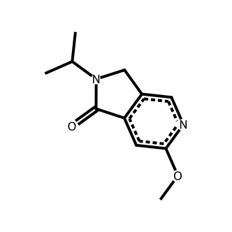 COc1cc2c(cn1)CN(C(C)C)C2=O